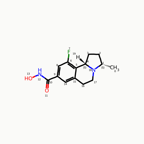 C[C@H]1CC[C@H]2c3c(F)cc(C(=O)NO)cc3CCN12